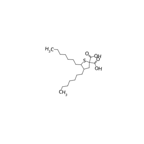 CCCCCCCC1CC(C(=O)O)(C(=O)O)SC1CCCCCCC